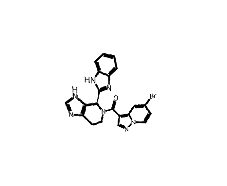 O=C(c1cnn2ccc(Br)cc12)N1CCc2nc[nH]c2[C@H]1c1nc2ccccc2[nH]1